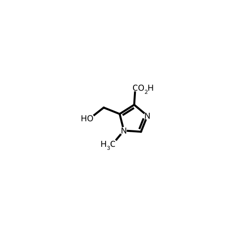 Cn1cnc(C(=O)O)c1CO